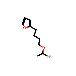 [CH2]CCCC(C)OCCCCc1ccco1